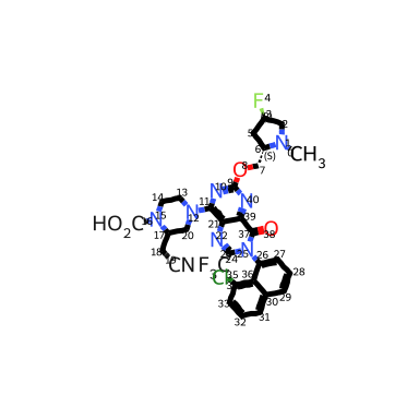 CN1C[C@H](F)C[C@H]1COc1nc(N2CCN(C(=O)O)C(CC#N)C2)c2nc(C(F)(F)F)n(-c3cccc4cccc(Cl)c34)c(=O)c2n1